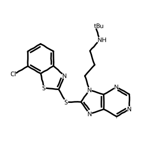 CC(C)(C)NCCCn1c(Sc2nc3cccc(Cl)c3s2)nc2[c]ncnc21